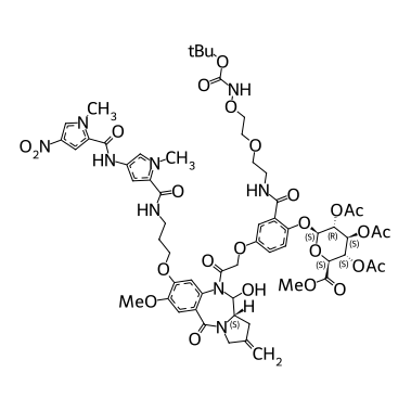 C=C1C[C@H]2C(O)N(C(=O)COc3ccc(O[C@@H]4O[C@H](C(=O)OC)[C@@H](OC(C)=O)[C@H](OC(C)=O)[C@H]4OC(C)=O)c(C(=O)NCCOCCONC(=O)OC(C)(C)C)c3)c3cc(OCCCNC(=O)c4cc(NC(=O)c5cc([N+](=O)[O-])cn5C)cn4C)c(OC)cc3C(=O)N2C1